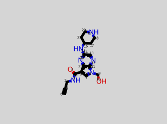 C#CCNC(=O)c1cn(CO)c2ncc(NC3CCNCC3)nc12